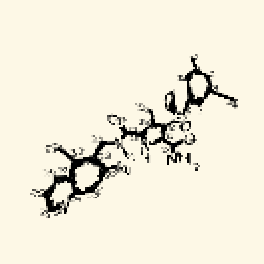 Cc1cc(C)cc(S(=O)(=O)c2c(C(N)=O)[nH]c(C(=O)N(C)Cc3[c]([Ru])cc4ncccc4c3C)c2C)c1